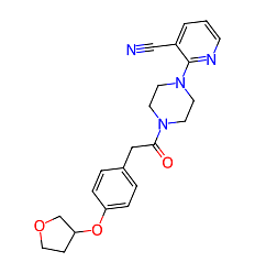 N#Cc1cccnc1N1CCN(C(=O)Cc2ccc(OC3CCOC3)cc2)CC1